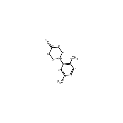 Cc1ccc(C(F)(F)F)nc1N1CCC(=O)CC1